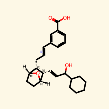 O=C(O)c1cccc(/C=C/C[C@@H]2[C@H](C=CC(O)C3CCCCC3)[C@@H]3CC[C@H]2O3)c1